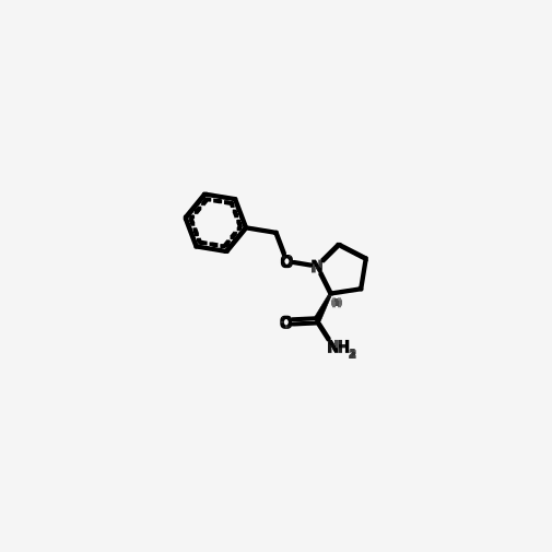 NC(=O)[C@@H]1CCCN1OCc1ccccc1